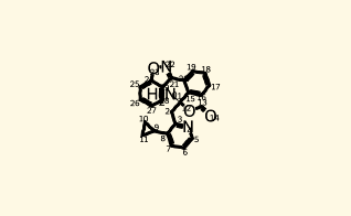 N[C@@](Cc1ncccc1C1CC1)(OC=O)c1ccccc1-c1noc2ccccc12